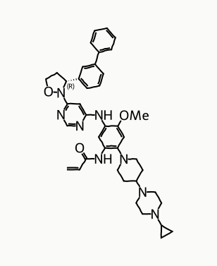 C=CC(=O)Nc1cc(Nc2cc(N3OCC[C@@H]3c3cccc(-c4ccccc4)c3)ncn2)c(OC)cc1N1CCC(N2CCN(C3CC3)CC2)CC1